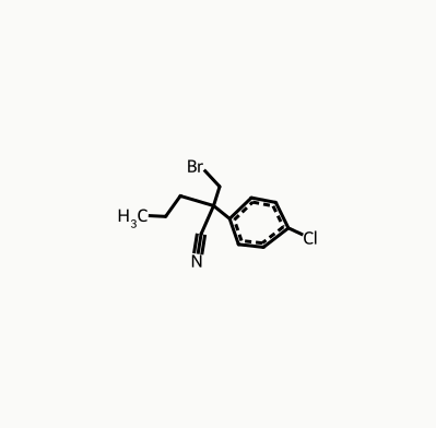 CCCC(C#N)(CBr)c1ccc(Cl)cc1